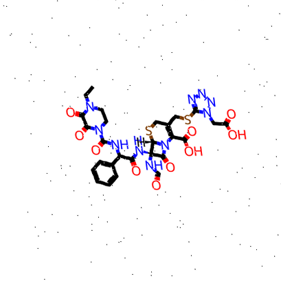 CCN1CCN(C(=O)NC(C(=O)N[C@]2(NC=O)C(=O)N3C(C(=O)O)=C(CSc4nnnn4CC(=O)O)CS[C@H]32)c2ccccc2)C(=O)C1=O